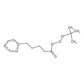 CC(C)(C)OOOC(=O)CCCCc1ccccc1